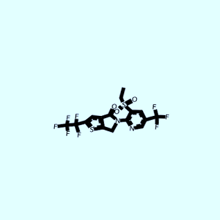 CCS(=O)(=O)c1cc(C(F)(F)F)cnc1N1Cc2sc(C(F)(F)C(F)(F)F)cc2C1=O